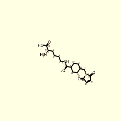 N[C@H](CCCCNC(=O)C1CCC(CN2C(=O)C=CC2=O)CC1)C(=O)O